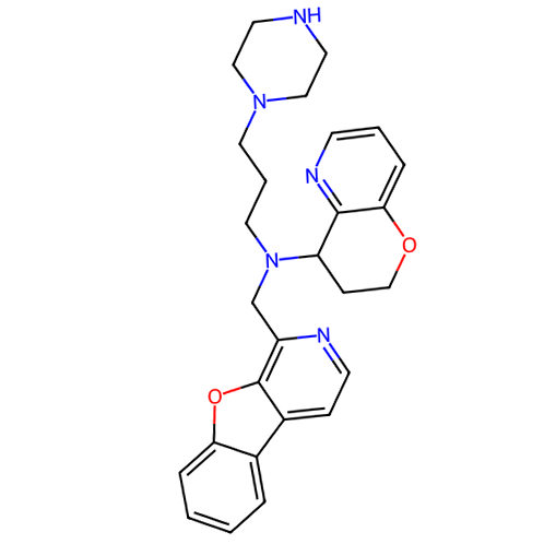 c1cnc2c(c1)OCCC2N(CCCN1CCNCC1)Cc1nccc2c1oc1ccccc12